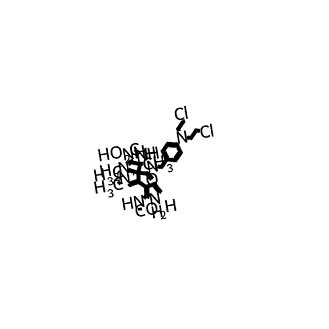 CC(NC(=O)O)(C(=N)N)C1(C(=O)NCc2ccc(N(CCCl)CCCl)cc2)C[N+](C)(C)C=C1c1cc[nH]c1NC(=O)O